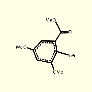 CCCc1c(OC)cc(OC)cc1C(=O)OC